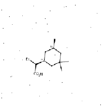 CCC(C(=O)O)[C@H]1C[C@@H](C)CC(C)(C)C1